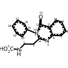 O=C(O)NCCc1nc2ccccc2c(=O)n1-c1ccccc1